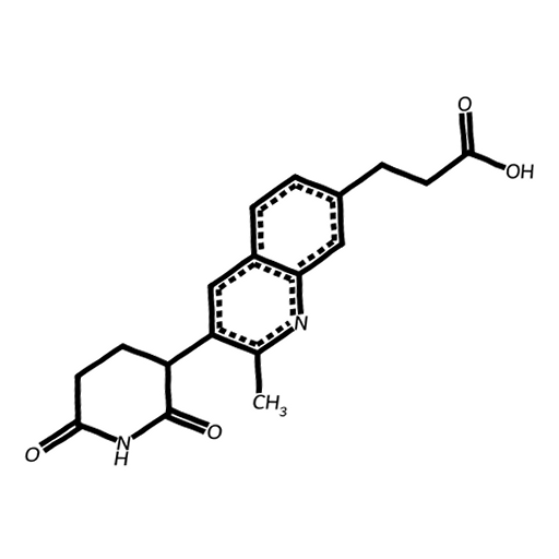 Cc1nc2cc(CCC(=O)O)ccc2cc1C1CCC(=O)NC1=O